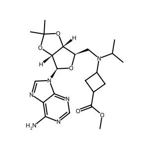 COC(=O)C1CC(N(C[C@H]2O[C@@H](n3cnc4c(N)ncnc43)[C@@H]3OC(C)(C)O[C@@H]32)C(C)C)C1